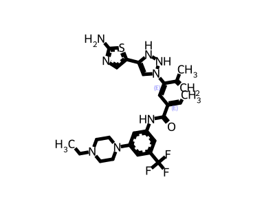 C=C(C)/C(=C\C(=C/C)C(=O)Nc1cc(N2CCN(CC)CC2)cc(C(F)(F)F)c1)N1C=C(c2cnc(N)s2)NN1